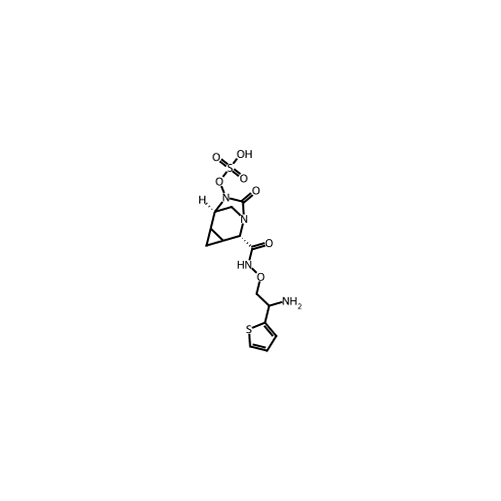 NC(CONC(=O)[C@@H]1C2CC2[C@@H]2CN1C(=O)N2OS(=O)(=O)O)c1cccs1